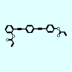 C=CC(=O)Oc1ccc(C#Cc2ccc(C#Cc3ccccc3OC(=O)C=C)cc2)cc1